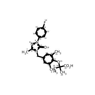 Cc1cc(Cn2c(C)nn(-c3ccc(F)cc3)c2=O)cc(C)c1OC(C)(C)C(=O)O